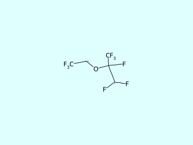 F[C](F)C(F)(O[C]C(F)(F)F)C(F)(F)F